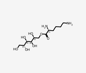 NCCCC[C@H](N)C(=O)OC[C@H](O)[C@@H](O)[C@H](O)[C@H](O)CO